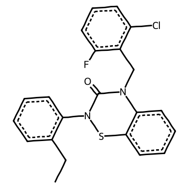 CCc1ccccc1N1Sc2ccccc2N(Cc2c(F)cccc2Cl)C1=O